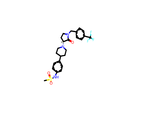 CS(=O)(=O)Nc1ccc(C2CCN([C@@H]3CCN(Cc4ccc(C(F)(F)F)cc4)C3=O)CC2)cc1